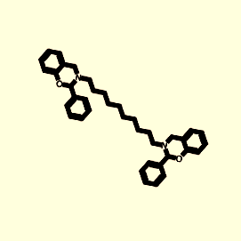 c1ccc(C2Oc3ccccc3CN2CCCCCCCCCCN2Cc3ccccc3OC2c2ccccc2)cc1